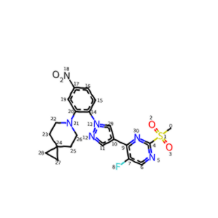 CS(=O)(=O)c1ncc(F)c(-c2cnn(-c3ccc([N+](=O)[O-])cc3N3CCC4(CC3)CC4)c2)n1